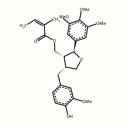 C/C=C(/C)C(=O)OC[C@H]1[C@@H](Cc2ccc(O)c(OC)c2)CO[C@@H]1c1cc(OC)c(OC)c(OC)c1